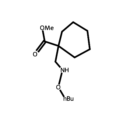 CCCCONCC1(C(=O)OC)CCCCC1